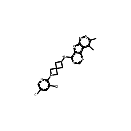 Cc1nnc2sc3c(NC4CC5(C4)CN(c4ncc(Cl)cc4Cl)C5)ncnc3c2c1C